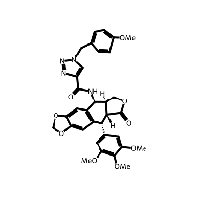 COc1ccc(Cn2cc(C(=O)N[C@@H]3c4cc5c(cc4[C@@H](c4cc(OC)c(OC)c(OC)c4)[C@H]4C(=O)OC[C@@H]43)OCO5)nn2)cc1